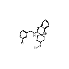 CCOC1CCC2(CC1)Nc1ccccc1N=C2NCc1cccc(Cl)c1